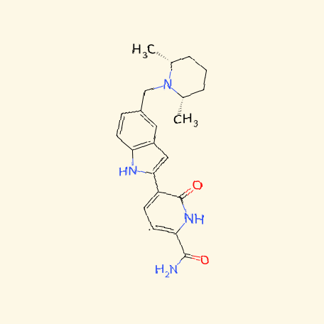 C[C@@H]1CCC[C@H](C)N1Cc1ccc2[nH]c(-c3c[c]c(C(N)=O)[nH]c3=O)cc2c1